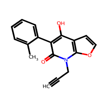 C#CCn1c(=O)c(-c2ccccc2C)c(O)c2ccoc21